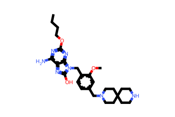 CCCCOc1nc(N)c2nc(O)n(Cc3ccc(CN4CCC5(CCNCC5)CC4)cc3OC)c2n1